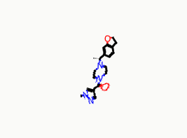 C[C@H](c1ccc2c(c1)OCC2)N1CCN(C(=O)c2cnn(C)c2)CC1